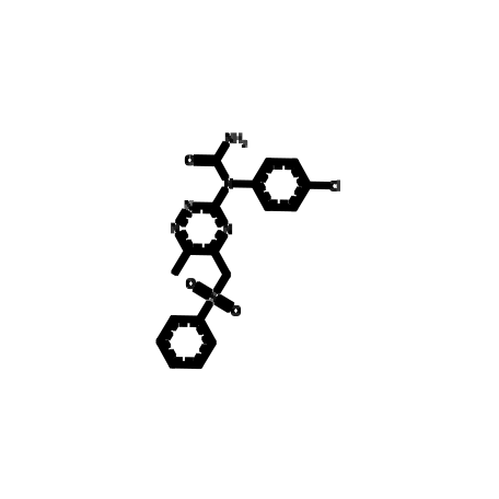 Cc1nnc(N(C(N)=O)c2ccc(Cl)cc2)nc1CS(=O)(=O)c1ccccc1